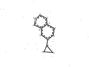 [c]1nccc2ccc(C3CC3)cc12